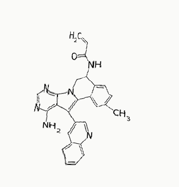 C=CC(=O)NC1Cn2c(c(-c3cnc4ccccc4c3)c3c(N)ncnc32)-c2cc(C)ccc21